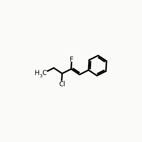 CCC(Cl)C(F)=Cc1ccccc1